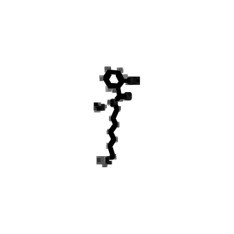 CCCCCCCCOC(=O)c1ccccc1O.[Na]